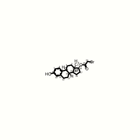 C[C@]12CC[C@@H]3c4ccc(O)cc4CC[C@H]3[C@@H]1CC[C@@H]2OC(=O)CBr